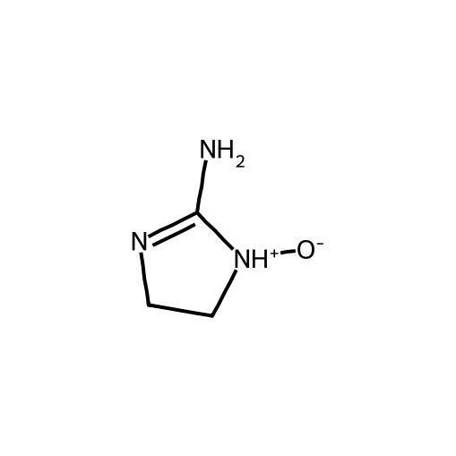 NC1=NCC[NH+]1[O-]